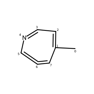 CC1=CC=NC=C=C1